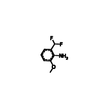 COc1cccc(C(F)F)c1N